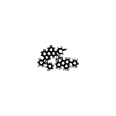 C=C/C=C\c1c(C)n(-c2nc(-c3ccc(-c4ccccc4)c4ccccc34)c3ccccc3n2)c2cc3c4cc5c(c6cccc(c7cccc(c12)c73)c46)c1ccccc1n5-c1ccccc1